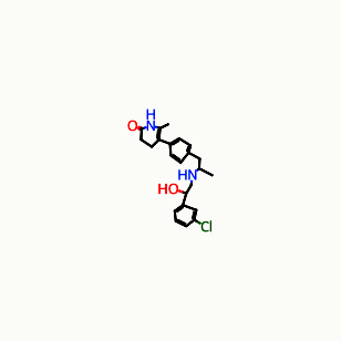 CC1=C(c2ccc(CC(C)NCC(O)c3cccc(Cl)c3)cc2)CCC(=O)N1